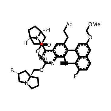 C#Cc1c(F)ccc2cc(OCOC)cc(-c3c(CCC(C)=O)cc4c(N5C[C@H]6CC[C@@H](C5)N6C(=O)OC(C)(C)C)nc(OC[C@@]56CCCN5C[C@H](F)C6)nc4c3F)c12